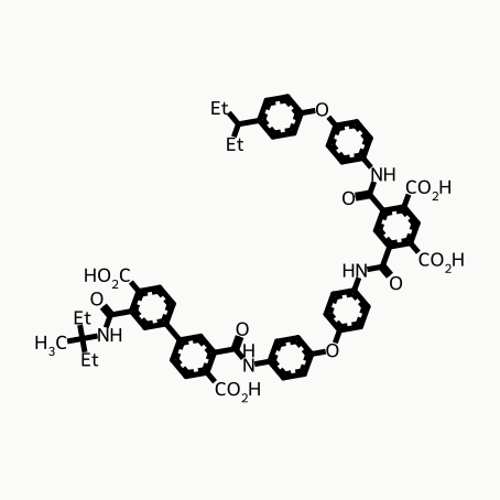 CCC(CC)c1ccc(Oc2ccc(NC(=O)c3cc(C(=O)Nc4ccc(Oc5ccc(NC(=O)c6cc(-c7ccc(C(=O)O)c(C(=O)NC(C)(CC)CC)c7)ccc6C(=O)O)cc5)cc4)c(C(=O)O)cc3C(=O)O)cc2)cc1